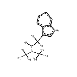 [2H]C(N(C([2H])([2H])[2H])C([2H])([2H])[2H])C([2H])([2H])c1c[nH]c2ccccc12